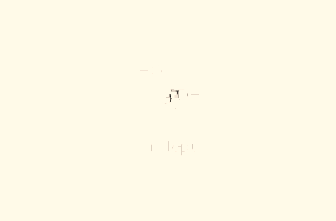 CCCCCCCCCCCCOP(=O)(O)OCCO